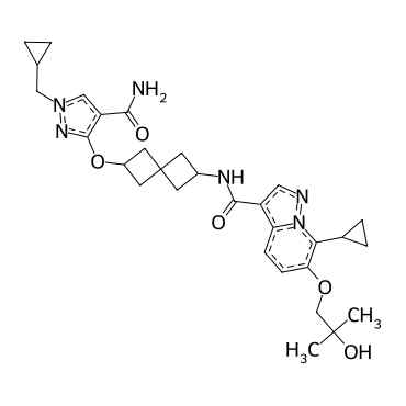 CC(C)(O)COc1ccc2c(C(=O)NC3CC4(C3)CC(Oc3nn(CC5CC5)cc3C(N)=O)C4)cnn2c1C1CC1